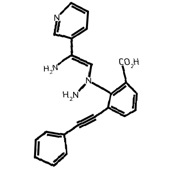 N/C(=C\N(N)c1c(C#Cc2ccccc2)cccc1C(=O)O)c1cccnc1